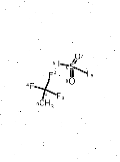 CC(F)(F)F.O=S(=O)(I)I